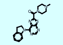 CN1CCN(C(=O)c2nc3c(N4CCc5ccccc54)ncnc3s2)CC1